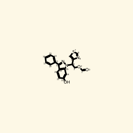 O=COCC(c1cscn1)n1nc(-c2ccccc2)c2ccc(O)cc21